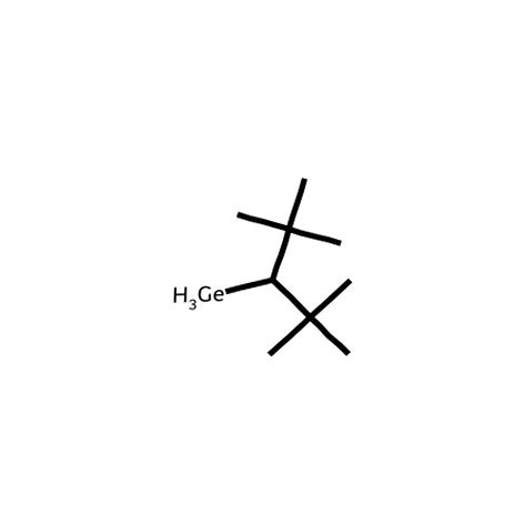 CC(C)(C)[CH]([GeH3])C(C)(C)C